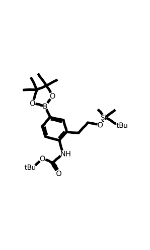 CC(C)(C)OC(=O)Nc1ccc(B2OC(C)(C)C(C)(C)O2)cc1CCO[Si](C)(C)C(C)(C)C